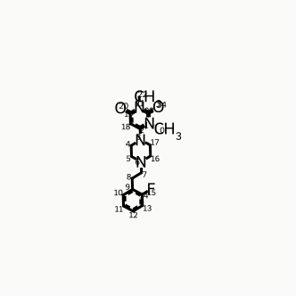 Cn1c(N2CCN(CCc3ccccc3F)CC2)cc(=O)n(C)c1=O